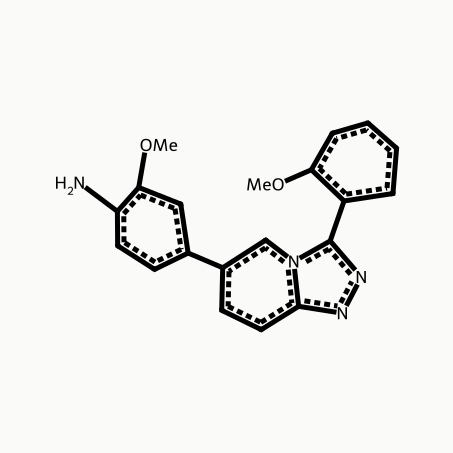 COc1cc(-c2ccc3nnc(-c4ccccc4OC)n3c2)ccc1N